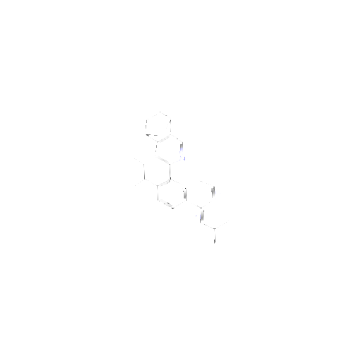 C/C=C\C(=C/C(C)C)c1ccc(C(C)CC)c(-c2cc3c(cn2)C2CCC3CC2)c1